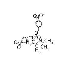 CC(C)N(OP(OCc1ccc([N+](=O)[O-])cc1)OCc1ccc([N+](=O)[O-])cc1)C(C)C